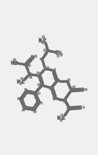 CC(=O)C1C=C2C(=CN(CC(C)C)C(N(C)C(=O)O)=C2c2ccccc2)CC1=O